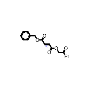 CCC(=O)COC(=O)/C=C/C(=O)OCc1ccccc1